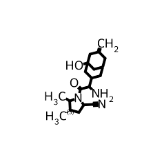 C=C1CC2CC(C(N)C(=O)N3C(C#N)C[C@H](C)C3C)CC(O)(C1)C2